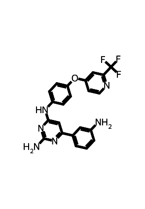 Nc1cccc(-c2cc(Nc3ccc(Oc4ccnc(C(F)(F)F)c4)cc3)nc(N)n2)c1